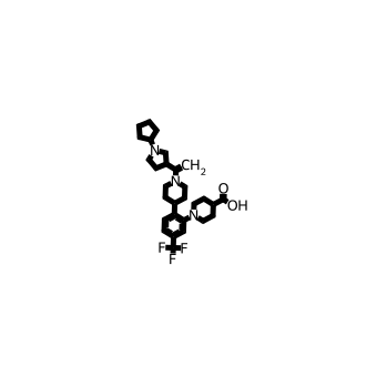 C=C(C1CCN(C2CCCC2)C1)N1CCC(c2ccc(C(F)(F)F)cc2N2CCC(C(=O)O)CC2)CC1